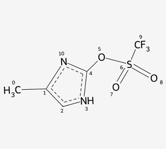 Cc1c[nH]c(OS(=O)(=O)C(F)(F)F)n1